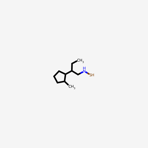 CCC(CNS)C1CCCC1C